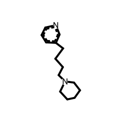 c1cncc(CCCCN2CCCCC2)c1